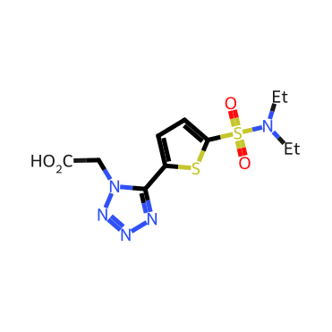 CCN(CC)S(=O)(=O)c1ccc(-c2nnnn2CC(=O)O)s1